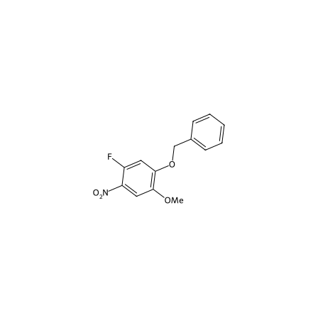 COc1cc([N+](=O)[O-])c(F)cc1OCc1ccccc1